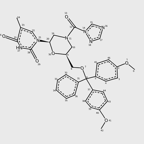 COc1ccc(C(OC[C@@H]2CN(C(=O)n3cncn3)C[C@H](n3cc(C)c(=O)[nH]c3=O)O2)(c2ccccc2)c2ccc(OC)cc2)cc1